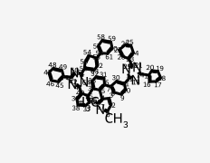 Cc1ccc(-c2c(-c3cccc(-c4nc(-c5ccccc5)nc(-c5ccccc5)n4)c3)cccc2-c2ccccc2-c2nc(-c3ccccc3)nc(-c3ccc(-c4ccccc4)cc3)n2)c(C)n1